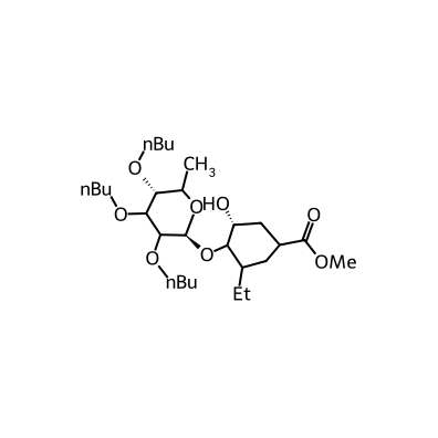 CCCCOC1C(OCCCC)[C@H](OCCCC)C(C)O[C@H]1OC1C(CC)CC(C(=O)OC)C[C@H]1O